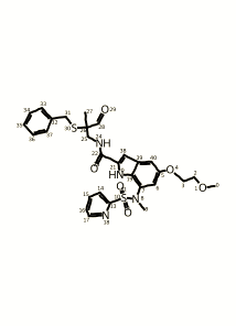 COCCOc1cc(N(C)S(=O)(=O)c2ccccn2)c2[nH]c(C(=O)NCC(C)(C=O)SCc3ccccc3)cc2c1